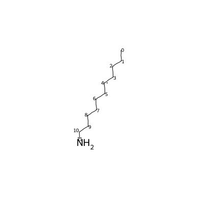 CCCC[CH]CCCCCCN